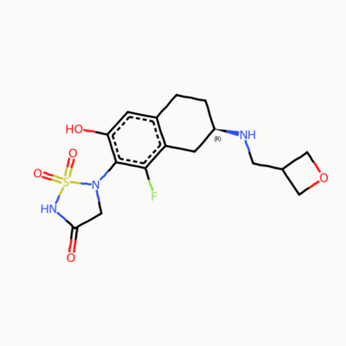 O=C1CN(c2c(O)cc3c(c2F)C[C@H](NCC2COC2)CC3)S(=O)(=O)N1